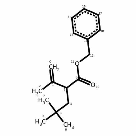 C=C(C)C(CC(C)(C)C)C(=O)OCc1ccccc1